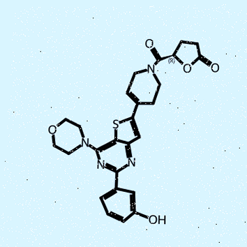 O=C1CC[C@H](C(=O)N2CC=C(c3cc4nc(-c5cccc(O)c5)nc(N5CCOCC5)c4s3)CC2)O1